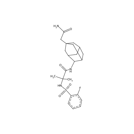 CC(C)(NS(=O)(=O)c1ccccc1F)C(=O)NC1C2CC3CC1CC(CC(N)=O)(C3)C2